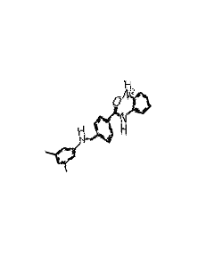 Cc1cc(C)cc(NCc2ccc(C(=O)Nc3ccccc3N)cc2)c1